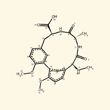 CN[C@@H]1C(=O)N[C@@H](C)C(=O)N[C@H](C(=O)O)Cc2ccc(OC)c(c2)-c2cc1ccc2OC